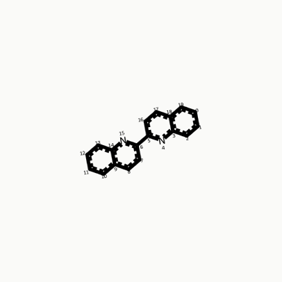 c1ccc2nc(-c3ccc4ccccc4n3)ccc2c1